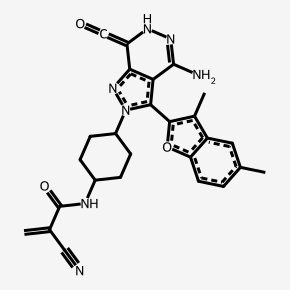 C=C(C#N)C(=O)NC1CCC(n2nc3c(c2-c2oc4ccc(C)cc4c2C)C(N)=NNC3=C=O)CC1